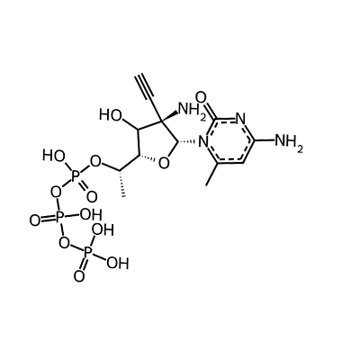 C#C[C@@]1(N)C(O)[C@@H]([C@H](C)OP(=O)(O)OP(=O)(O)OP(=O)(O)O)O[C@H]1n1c(C)cc(N)nc1=O